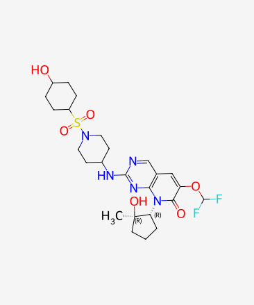 C[C@@]1(O)CCC[C@H]1n1c(=O)c(OC(F)F)cc2cnc(NC3CCN(S(=O)(=O)C4CCC(O)CC4)CC3)nc21